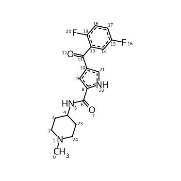 CN1CCC(NC(=O)c2cc(C(=O)c3cc(F)ccc3F)c[nH]2)CC1